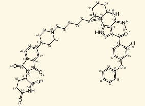 C=Nc1[nH]cc(C(=O)c2ccc(Oc3ccccc3)cc2Cl)c1/C(=N\C)N[C@@H]1CCCN(CCCCCCN2CCN(c3ccc4c(c3)C(=O)N(C3CCC(=O)NC3=O)C4=O)CC2)C1